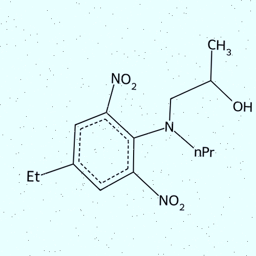 CCCN(CC(C)O)c1c([N+](=O)[O-])cc(CC)cc1[N+](=O)[O-]